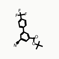 CC(C)(C)OC(=O)c1cc(C#N)cc(-c2ccc(C(F)(F)F)cc2)c1